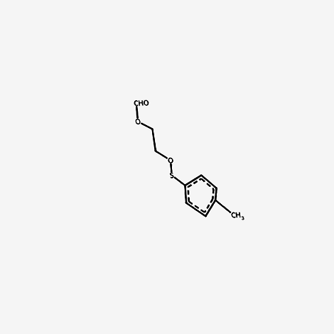 Cc1ccc(SOCCOC=O)cc1